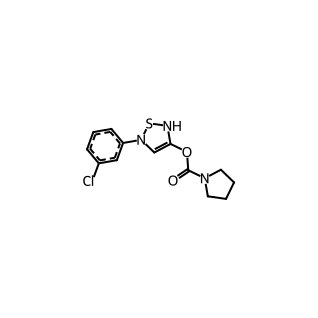 O=C(OC1=CN(c2cccc(Cl)c2)SN1)N1CCCC1